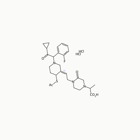 CC(=O)SC1CCN(C(C(=O)C2CC2)c2ccccc2F)C/C1=C/CN1CCN(C(C)C(=O)O)CC1=O.Cl.Cl